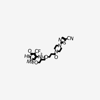 COCC(COCCC(=O)N1CCN(c2ncc(C#N)s2)CC1)Nc1cn[nH]c(=O)c1C(F)(F)F